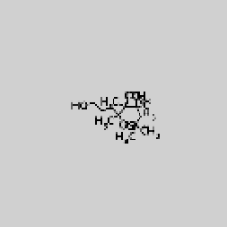 CC1(C)C[Si](C)(C)OC(C)(CCCO)C1(C)C